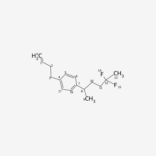 C=CCCc1ccc(C(C)CCC(C)(F)F)cc1